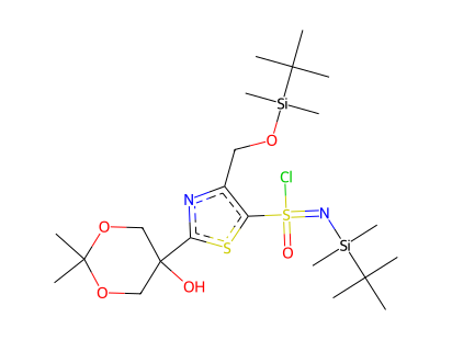 CC1(C)OCC(O)(c2nc(CO[Si](C)(C)C(C)(C)C)c(S(=O)(Cl)=N[Si](C)(C)C(C)(C)C)s2)CO1